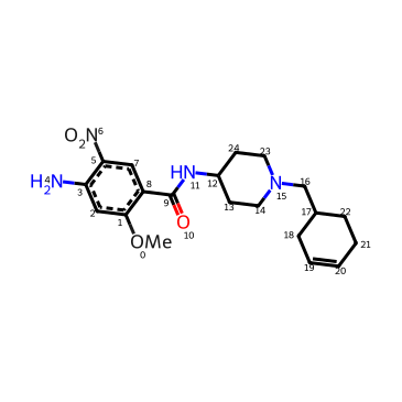 COc1cc(N)c([N+](=O)[O-])cc1C(=O)NC1CCN(CC2CC=CCC2)CC1